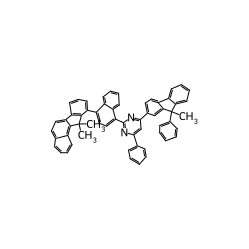 CC1(C)c2c(cccc2-c2ccc(-c3nc(-c4ccccc4)cc(-c4ccc5c(c4)C(C)(c4ccccc4)c4ccccc4-5)n3)c3ccccc23)-c2ccc3ccccc3c21